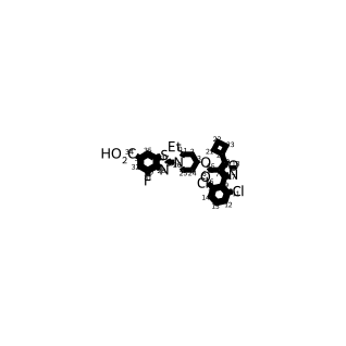 CC[C@@H]1C[C@H](OC(=O)c2c(-c3c(Cl)cccc3Cl)noc2C2CCC2)CCN1c1nc2c(F)cc(C(=O)O)cc2s1